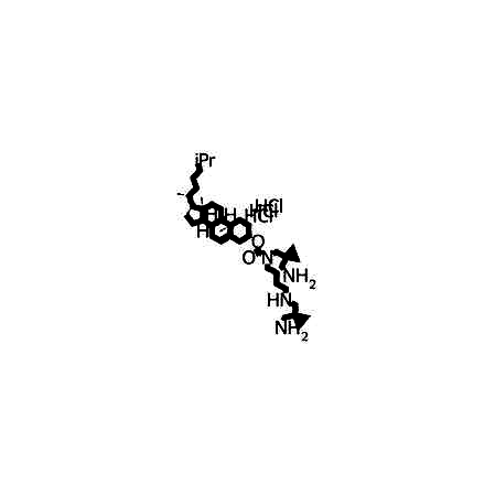 CC(C)CCC[C@@H](C)[C@H]1CC[C@H]2[C@@H]3CC=C4C[C@@H](OC(=O)N(CCCCNCC5(CN)CC5)CC5(CN)CC5)CC[C@]4(C)[C@H]3CC[C@]12C.Cl.Cl.Cl